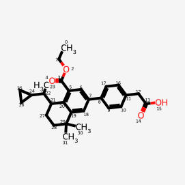 CCOC(=O)c1cc(-c2ccc(CC(=O)O)cc2)cc2c1C(C(C)C1CC1)CCC2(C)C